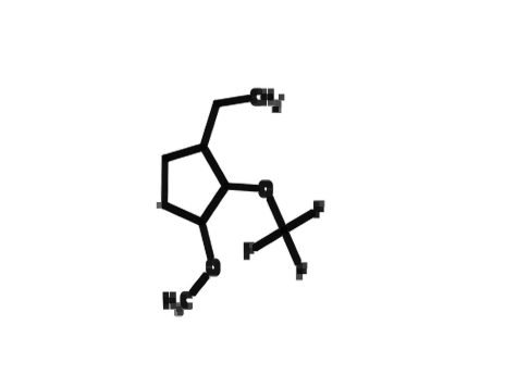 [CH2]CC1C[CH]C(OC)C1OC(F)(F)F